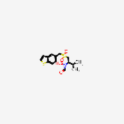 CC(C)C(CS(=O)(=O)Cc1ccc2sccc2c1)N(O)C=O